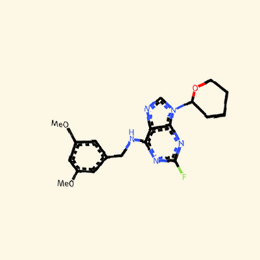 COc1cc(CNc2nc(F)nc3c2ncn3C2CCCCO2)cc(OC)c1